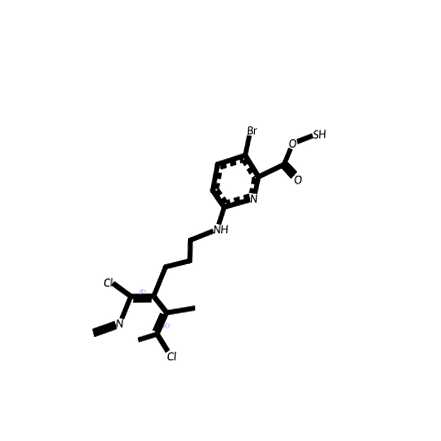 C=N/C(Cl)=C(CCCNc1ccc(Br)c(C(=O)OS)n1)\C(C)=C(/C)Cl